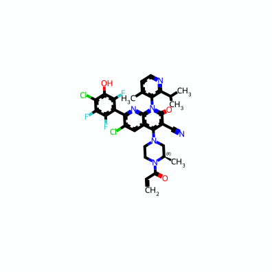 C=CC(=O)N1CCN(c2c(C#N)c(=O)n(-c3c(C)ccnc3C(C)C)c3nc(-c4c(F)c(O)c(Cl)c(F)c4F)c(Cl)cc23)C[C@H]1C